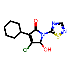 O=C1C(C2CCCCC2)=C(Cl)C(O)N1c1ncns1